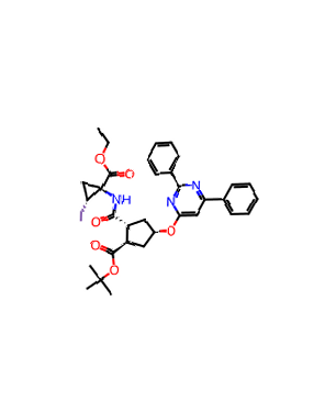 CCOC(=O)[C@@]1(NC(=O)[C@@H]2C[C@@H](Oc3cc(-c4ccccc4)nc(-c4ccccc4)n3)C[C@H]2C(=O)OC(C)(C)C)C[C@H]1I